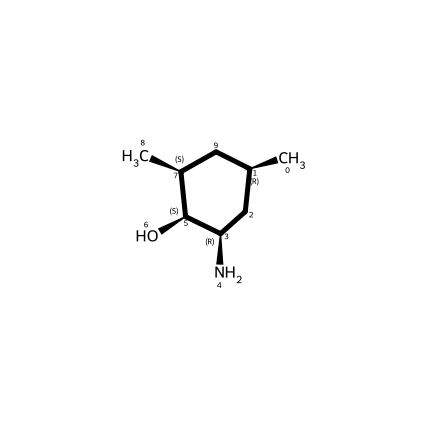 C[C@H]1C[C@@H](N)[C@@H](O)[C@@H](C)C1